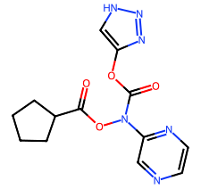 O=C(ON(C(=O)Oc1c[nH]nn1)c1cnccn1)C1CCCC1